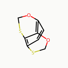 c1cc2c3c(c1OCS3)OCS2